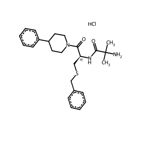 CC(C)(N)C(=O)N[C@@H](CSCc1ccccc1)C(=O)N1CCC(c2ccccc2)CC1.Cl